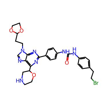 O=C(Nc1ccc(CCBr)cc1)Nc1ccc(-c2nc(C3CNCCO3)c3ncn(CCC4OCCO4)c3n2)cc1